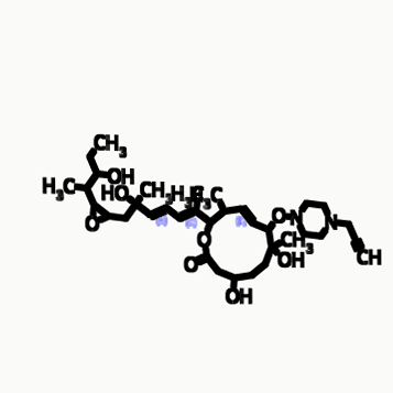 C#CCN1CCN(OC2/C=C/C(C)C(/C(C)=C/C=C/C(C)(O)CC3OC3C(C)C(O)CC)OC(=O)CC(O)CCC2(C)O)CC1